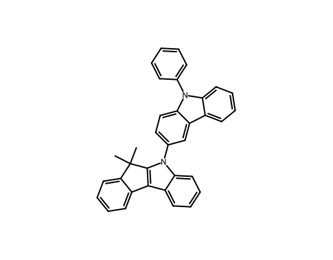 CC1(C)c2ccccc2-c2c1n(-c1ccc3c(c1)c1ccccc1n3-c1ccccc1)c1ccccc21